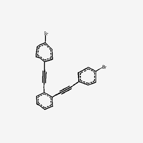 Brc1ccc(C#Cc2ccccc2C#Cc2ccc(Br)cc2)cc1